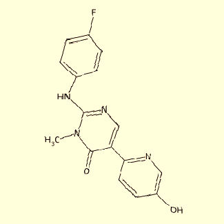 Cn1c(Nc2ccc(F)cc2)ncc(-c2ccc(O)cn2)c1=O